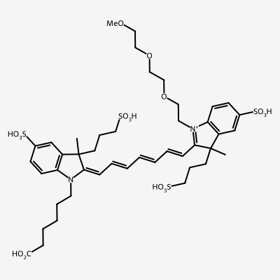 COCCOCCOCC[N+]1=C(/C=C/C=C/C=C/C=C2/N(CCCCCC(=O)O)c3ccc(S(=O)(=O)O)cc3C2(C)CCCS(=O)(=O)O)C(C)(CCCS(=O)(=O)O)c2cc(S(=O)(=O)O)ccc21